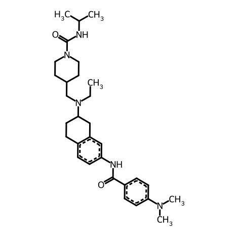 CCN(CC1CCN(C(=O)NC(C)C)CC1)C1CCc2ccc(NC(=O)c3ccc(N(C)C)cc3)cc2C1